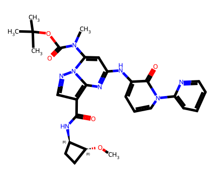 CO[C@@H]1CC[C@H]1NC(=O)c1cnn2c(N(C)C(=O)OC(C)(C)C)cc(Nc3cccn(-c4ccccn4)c3=O)nc12